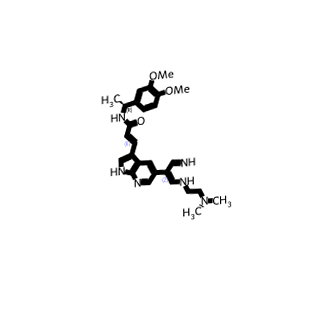 COc1ccc([C@@H](C)NC(=O)/C=C/c2c[nH]c3ncc(/C(C=N)=C/NCCN(C)C)cc23)cc1OC